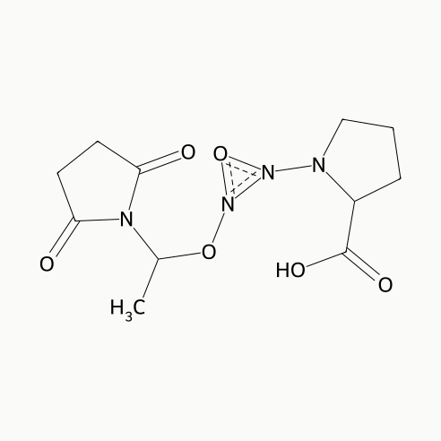 CC(On1on1N1CCCC1C(=O)O)N1C(=O)CCC1=O